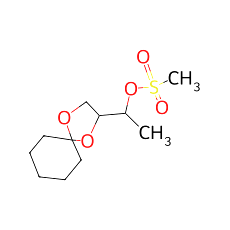 CC(OS(C)(=O)=O)C1COC2(CCCCC2)O1